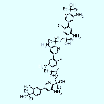 CCC(O)(CC)c1ccc(-c2cnc(C(O)(CC)CCC(C)C(O)(CC)c3cc(F)c(-c4cnc(C(O)(CC)CCC(O)(CC)c5cc(Cl)c(-c6cnc(C(O)(CC)CC)c(N)c6)cc5N)c(N)c4)cc3N)c(N)c2)cc1N